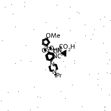 CO[C@@H]1CC[C@@H](S(=O)(=O)c2ccc(N3CCN(C(C)C)CC3)cc2C(F)(F)F)C1.N#CC1(NC(=O)O)CC1